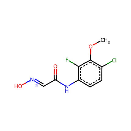 COc1c(Cl)ccc(NC(=O)/C=N/O)c1F